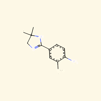 COc1cc(C2=NCC(C)(C)N2)ccc1N